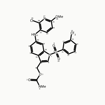 CNC(=O)OCc1cn(S(=O)(=O)c2cccc(C(F)(F)F)c2)c2cc(Nc3ccc(OC)nc3Cl)ccc12